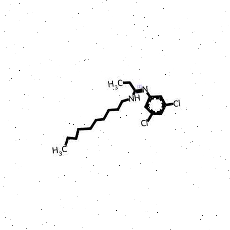 CCCCCCCCCCN/C(CC)=N\c1cc(Cl)cc(Cl)c1